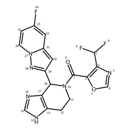 O=C(c1ocnc1C(F)F)N1CCc2[nH]cnc2C1c1cc2cc(F)ccn2n1